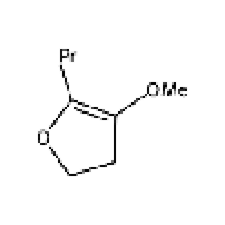 COC1=C(C(C)C)OCC1